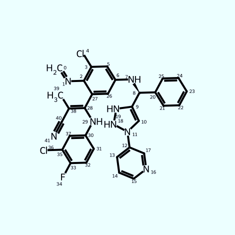 C=Nc1c(Cl)cc(N[C@H](C2=CN(c3cccnc3)NN2)c2ccccc2)cc1/C(Nc1ccc(F)c(Cl)c1)=C(\C)C#N